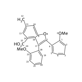 COc1ccccc1-c1oc2cc(C)cc(C(=O)O)c2c1-c1ccccc1OC